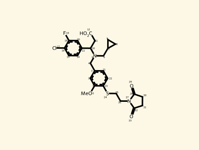 COc1cc(CN(CC2CC2)C(CC(=O)O)c2ccc(Cl)c(F)c2)ccc1SCCN1C(=O)CCC1=O